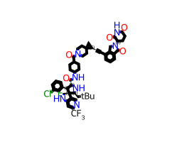 CC(C)(C)C[C@@H]1N[C@@H](C(=O)NC2CCC(C(=O)N3CCC4(CC3)C[C@@H]4C#Cc3cccc4c3CN([C@H]3CCC(=O)NC3=O)C4=O)CC2)[C@H](c2cccc(Cl)c2F)[C@]12CNc1cc(C(F)(F)F)ncc12